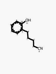 N#CCCCCc1ccccc1O